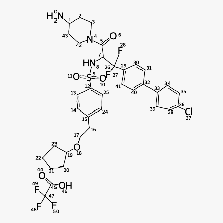 NC1CCN(C(=O)C(NS(=O)(=O)c2ccc(CCOC3CCCC3)cc2)C(F)(F)c2ccc(-c3ccc(Cl)cc3)cc2)CC1.O=C(O)C(F)(F)F